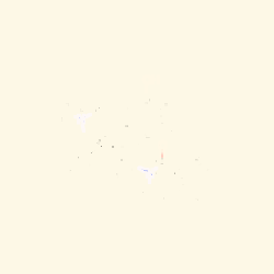 CC(=O)OC1C[C@H](N(C)C(=O)c2ccccc2)C[C@]2(c3cccc(O)c3)CCN(C)C[C@@H]12